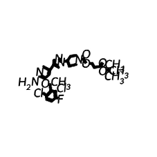 CC(Oc1cc(-c2cnn(C3CCN(C(=O)OCCC(=O)OC(C)(C)C)CC3)c2)cnc1N)c1c(Cl)ccc(F)c1Cl